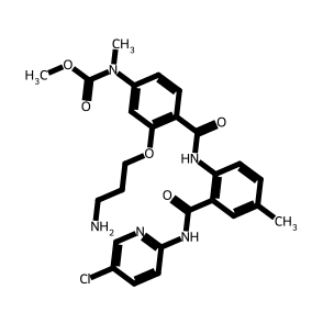 COC(=O)N(C)c1ccc(C(=O)Nc2ccc(C)cc2C(=O)Nc2ccc(Cl)cn2)c(OCCCN)c1